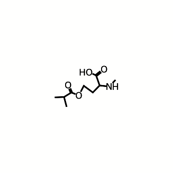 CNC(CCOC(=O)C(C)C)C(=O)O